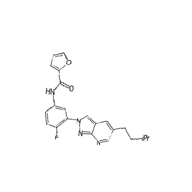 CC(C)CCc1cnc2nn(-c3cc(NC(=O)c4ccco4)ccc3F)cc2c1